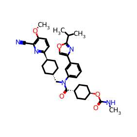 CNC(=O)O[C@H]1CC[C@H](C(=O)N(C[C@H]2CC[C@H](c3ccc(OC)c(C#N)n3)CC2)c2cccc(-c3coc(C(C)C)n3)c2)CC1